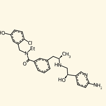 CCN(Cc1cc(O)ccc1Cl)C(=O)c1cccc(C[C@@H](C)NC[C@H](O)c2ccc(N)nc2)c1